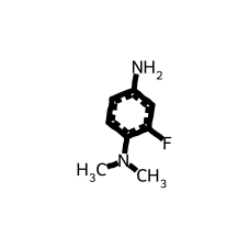 CN(C)c1ccc(N)cc1F